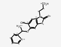 CC(Oc1cc2sc(=O)n(CCC(=O)O)c2cc1Cl)c1ccccn1